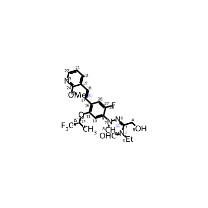 CCN(C=O)/C(CO)=N\N(C)c1cc(O[C@@H](C)C(F)(F)F)c(/C=C/c2cccnc2OC)cc1F